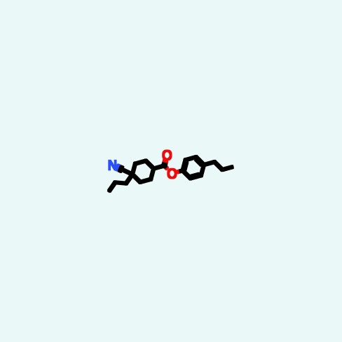 CCCc1ccc(OC(=O)C2CCC(C#N)(CCC)CC2)cc1